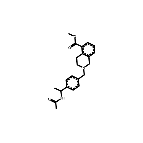 COC(=O)c1cccc2c1CCN(Cc1ccc(C(C)NC(C)=O)cc1)C2